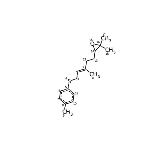 C/C(=C\CSc1ccc(C)cc1)CCC1OC1(C)C